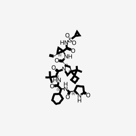 C=C[C@@H]1C[C@]1(NC(=O)[C@@H]1C[C@@]2(CN1C(=O)[C@@H](NC(=O)[C@@H](NC(=O)[C@H]1CCC(=O)N1)C1CCCCC1)C(C)(C)C)C(C)(C)C21CCC1)C(=O)NS(=O)(=O)C1CC1